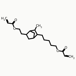 C=CC(=O)OCCCCCC1C2CC(CCOC(=O)C=C)C(C2)C1C